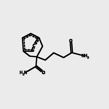 NC(=O)CCCC1(C(N)=O)Cc2ccc(cc2)C1